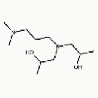 CC(O)CN(CCCN(C)C)CC(C)O